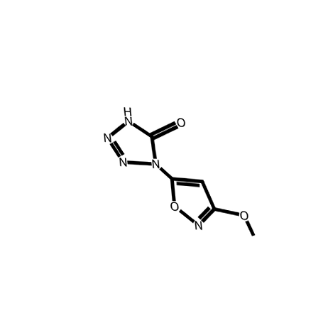 COc1cc(-n2nn[nH]c2=O)on1